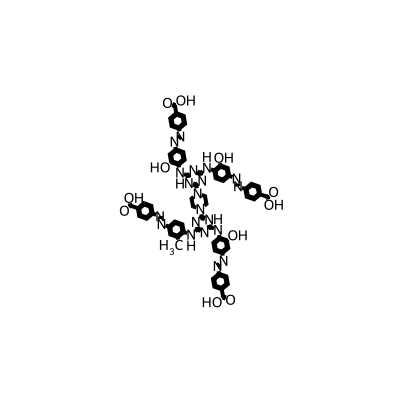 Cc1cc(N=Nc2ccc(C(=O)O)cc2)ccc1Nc1nc(Nc2ccc(N=Nc3ccc(C(=O)O)cc3)cc2O)nc(N2CCN(c3nc(Nc4ccc(N=Nc5ccc(C(=O)O)cc5)cc4O)nc(Nc4ccc(N=Nc5ccc(C(=O)O)cc5)cc4O)n3)CC2)n1